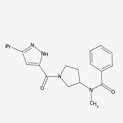 CC(C)c1cc(C(=O)N2CCC(N(C)C(=O)c3ccccc3)C2)[nH]n1